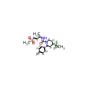 C[C@@H](/C=C/S(C)(=O)=O)NC(=O)N1CC[C@H](C(C)(F)F)C[C@@H]1c1ccc(F)cc1